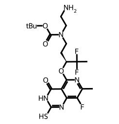 Cc1nc(O[C@@H](CCN(CCN)C(=O)OC(C)(C)C)C(C)(F)F)c2c(=O)[nH]c(S)nc2c1F